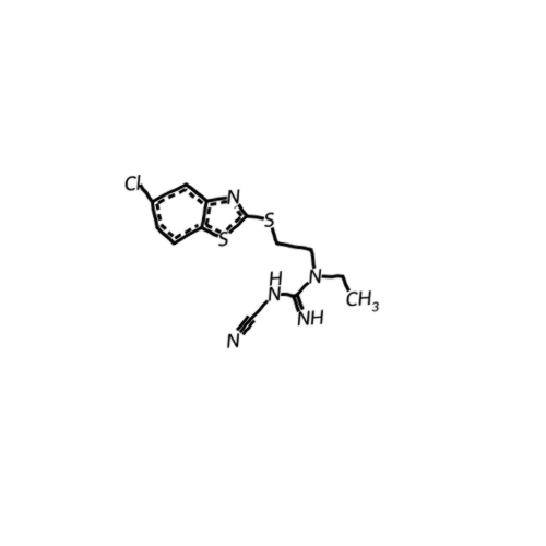 CCN(CCSc1nc2cc(Cl)ccc2s1)C(=N)NC#N